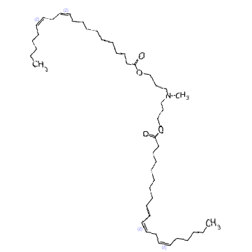 CCCCC/C=C\C/C=C\CCCCCCCCCC(=O)OCCCN(C)CCCOC(=O)CCCCCCCCC/C=C\C/C=C\CCCCC